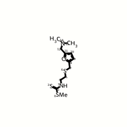 CSC(=S)NCCSCc1ccc(CN(C)C)o1